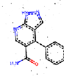 NC(=O)c1cnc2[nH]ncc2c1-c1ccccc1